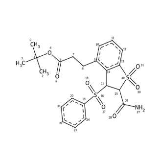 CC(C)(C)OC(=O)CCc1cccc2c1C(S(=O)(=O)c1ccccc1)C(C(N)=O)S2(=O)=O